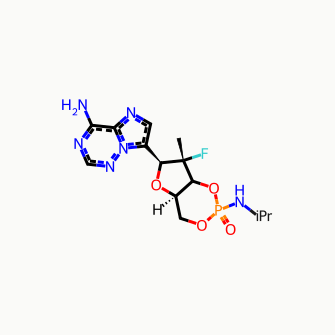 CC(C)NP1(=O)OC[C@H]2O[C@@H](c3cnc4c(N)ncnn34)[C@](C)(F)C2O1